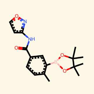 Cc1ccc(C(=O)Nc2ccon2)cc1B1OC(C)(C)C(C)(C)O1